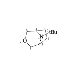 CC(C)(C)N1C2CCC1COC2